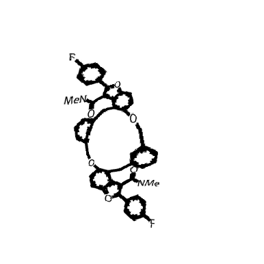 CNC(=O)c1c(-c2ccc(F)cc2)oc2ccc3c(c12)Cc1cccc(c1)COc1ccc2oc(-c4ccc(F)cc4)c(C(=O)NC)c2c1Cc1cccc(c1)CO3